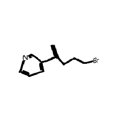 C=C(CCCBr)c1cccnc1